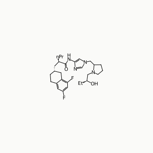 CCC[C@H](C[C@H]1CCc2cc(F)cc(F)c2C1)C(=O)Nc1cn(CC2CCCN2C[C@@H](O)CC)cn1